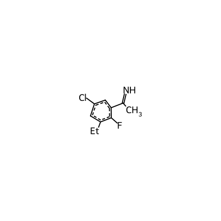 CCc1cc(Cl)cc(C(C)=N)c1F